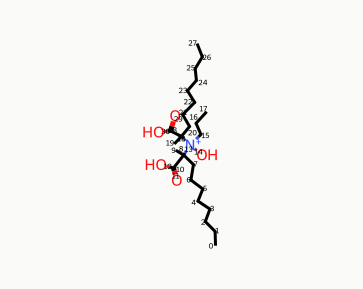 CCCCCCCCC(C)(C(=O)O)[N+](O)(CCC)C(C)(CCCCCCCC)C(=O)O